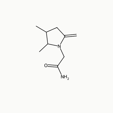 C=C1CC(C)C(C)N1CC(N)=O